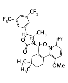 COC1=C(C2=C(CN3C(=O)O[C@H](c4cc(C(F)(F)F)cc(C(F)(F)F)c4)[C@@H]3C)CC(C)(C)CC2)N(O)C(C(C)C)C=C1